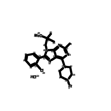 CCN1CCN(c2nc(C)nc3c2nc(-c2ccccc2Cl)n3CC(C)(C)OC)CC1.Cl